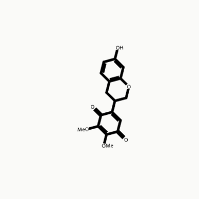 COC1=C(OC)C(=O)C(C2COc3cc(O)ccc3C2)=CC1=O